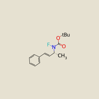 C[C@H](C=Cc1ccccc1)N(F)C(=O)OC(C)(C)C